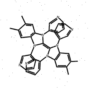 Cc1cc2c(cc1C)N(c1cccnc1)C(=C1N(c3cccnc3)c3cc(C)c(C)cc3N1c1cccnc1)N2c1cccnc1